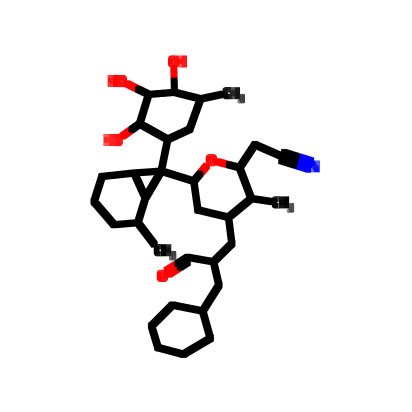 CC1CC(C2(C3CC(CC(C=O)CC4CCCCC4)C(C)C(CC#N)O3)C3CCCC(C)C32)C(O)C(O)C1O